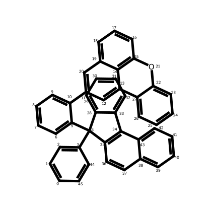 c1ccc(C2(c3ccccc3-c3cc4c5c(cccc5c3)Oc3ccccc3-4)c3ccccc3-c3c2ccc2ccccc32)cc1